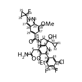 CCOc1c(CC(N)=O)cc([C@@](O)(CNC(=O)c2cc(OC)c3nn(C4(F)CC4)cc3c2)C2CC2)nc1-c1cc(F)c(F)c(Cl)c1